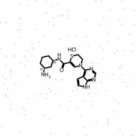 Cl.N[C@H]1CCC[C@@H](NC(=O)C2=CN(c3ncnc4[nH]ccc34)CCS2)C1